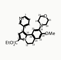 CCOC(=O)c1cc(-c2cccnc2)c2n1CCc1cc(OC)c(N3CCOCC3)cc1-2